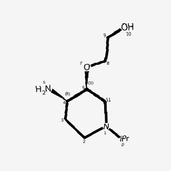 CC(C)N1CC[C@@H](N)[C@@H](OCCO)C1